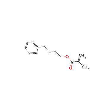 C=C(C)C(=O)OCCCCc1[c]cccc1